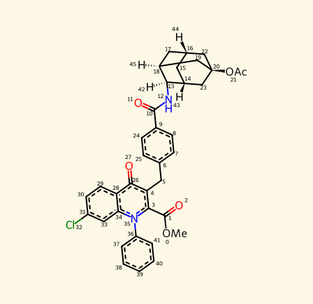 COC(=O)c1c(Cc2ccc(C(=O)N[C@@H]3[C@@H]4C[C@@H]5C[C@H]3C[C@](OC(C)=O)(C5)C4)cc2)c(=O)c2ccc(Cl)cc2n1-c1ccccc1